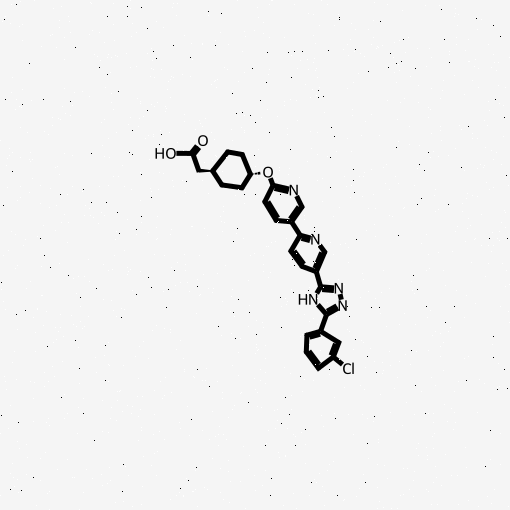 O=C(O)C[C@H]1CC[C@H](Oc2ccc(-c3ccc(-c4nnc(-c5cccc(Cl)c5)[nH]4)cn3)cn2)CC1